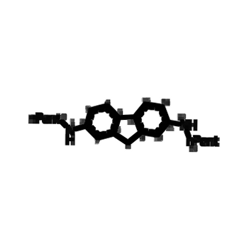 CCCCCNc1ccc2c(c1)Cc1cc(NCCCCC)ccc1-2